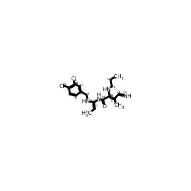 C/C=C(\NCc1ccc(Cl)c(Cl)c1)NC(=O)/C(NCCC)=C(\C)C=N